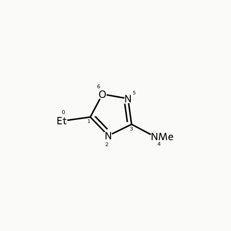 CCc1nc(NC)no1